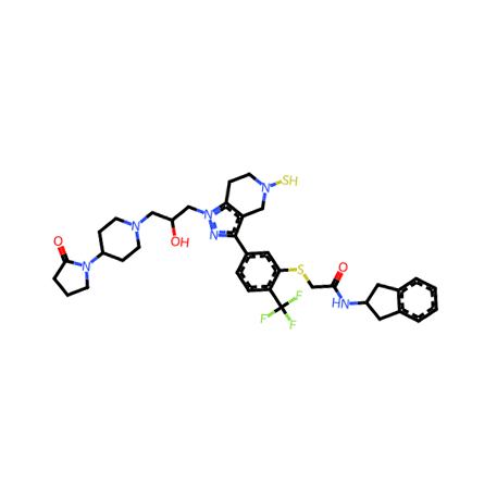 O=C(CSc1cc(-c2nn(CC(O)CN3CCC(N4CCCC4=O)CC3)c3c2CN(S)CC3)ccc1C(F)(F)F)NC1Cc2ccccc2C1